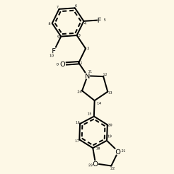 O=C(Cc1c(F)cccc1F)N1CCC(c2ccc3c(c2)OCO3)C1